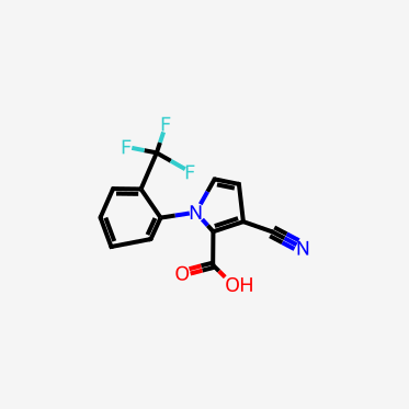 N#Cc1ccn(-c2ccccc2C(F)(F)F)c1C(=O)O